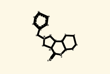 O=C1OC2CCCCC2C2CN(Cc3ccccc3)CC12